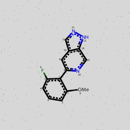 COc1cccc(F)c1-c1cc2cn[nH]c2cn1